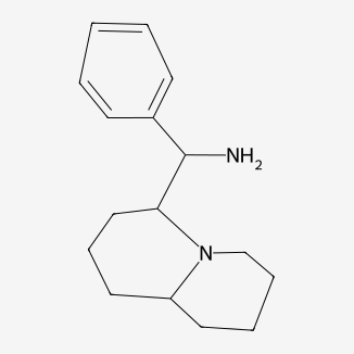 NC(c1ccccc1)C1CCCC2CCCCN21